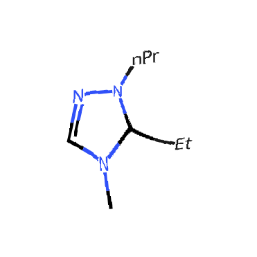 CCCN1N=CN(C)C1CC